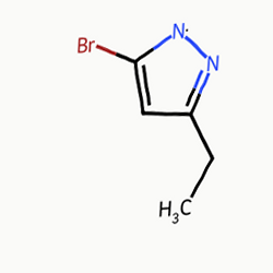 CCC1=N[N]C(Br)=C1